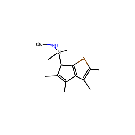 CC1=C(C)C([Si](C)(C)NC(C)(C)C)c2sc(C)c(C)c21